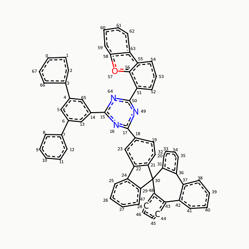 c1ccc(-c2cc(-c3ccccc3)cc(-c3nc(-c4ccc5c(c4)-c4ccccc4C54c5ccccc5-c5ccccc5-c5ccccc54)nc(-c4cccc5c4oc4ccccc45)n3)c2)cc1